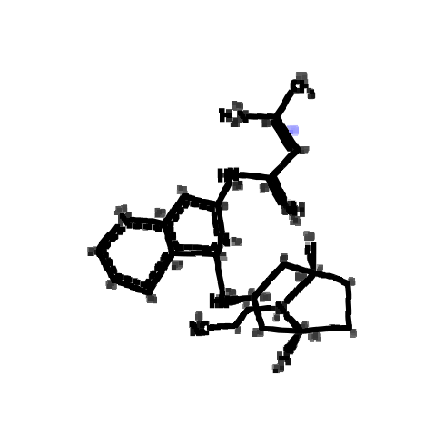 N#CCCN1[C@@H]2CC[C@H]1C[C@H](Nc1nc(NC(=N)/C=C(\N)C(F)(F)F)cc3ncccc13)C2